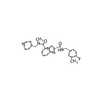 Cc1cc(CNC(=O)c2cn3c(C(=O)N(C)Cc4ccncc4)cccc3n2)ccc1F